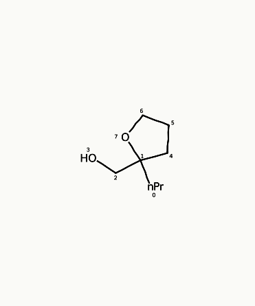 CCCC1(CO)CCCO1